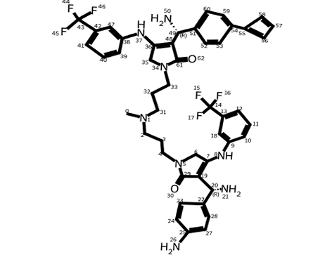 CN(CCCN1CC(Nc2cccc(C(F)(F)F)c2)=C([C@H](N)c2ccc(N)cc2)C1=O)CCCN1CC(Nc2cccc(C(F)(F)F)c2)=C([C@H](N)c2ccc(C3=CC=C3)cc2)C1=O